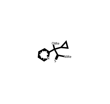 CNC(=S)C(OC)(c1ccccn1)C1CC1